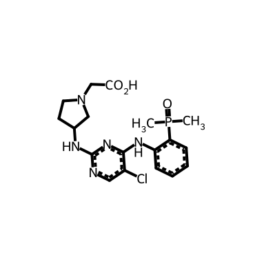 CP(C)(=O)c1ccccc1Nc1nc(NC2CCN(CC(=O)O)C2)ncc1Cl